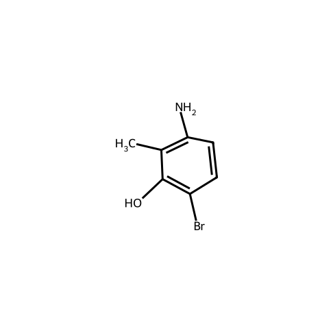 Cc1c(N)ccc(Br)c1O